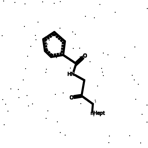 CCCCCCCCC(=O)CNC(=O)c1ccccc1